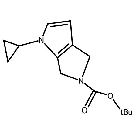 CC(C)(C)OC(=O)N1Cc2ccn(C3CC3)c2C1